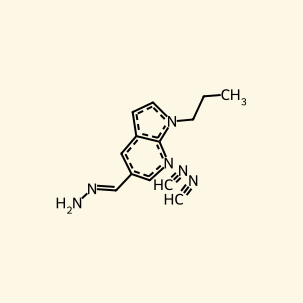 C#N.C#N.CCCn1ccc2cc(C=NN)cnc21